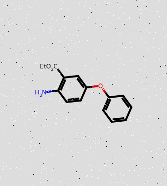 CCOC(=O)c1cc(Oc2ccccc2)ccc1N